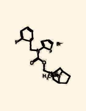 C[N+]1(C)C2CCC1CC(COC(=O)N(Cc1ccccc1F)c1cccs1)C2.[Br-]